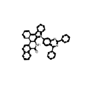 O=C1NC2=c3c(c4ccccc4n3-c3ccc4c(-c5ccccc5)nc(-c5ccccc5)nc4c3)=C3C=CC=CC3C2c2ccc3ccccc3c21